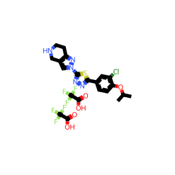 CC(C)Oc1ccc(-c2nnc(-n3cc4c(n3)CCNC4)s2)cc1Cl.O=C(O)C(F)(F)F.O=C(O)C(F)(F)F